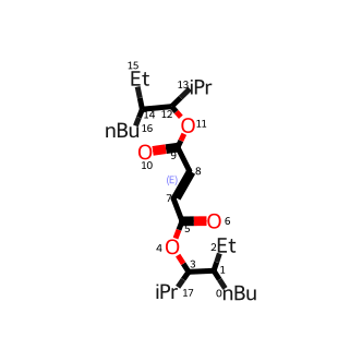 CCCCC(CC)C(OC(=O)/C=C/C(=O)OC(C(C)C)C(CC)CCCC)C(C)C